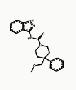 COCC1(c2ccccc2)CCN(C(=O)Nc2n[nH]c3ccccc23)CC1